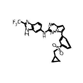 O=S(=O)(CC1CC1)c1cccc(-c2ccc3cnc(Nc4ccc5nc(C(F)(F)F)[nH]c5c4)nn23)c1